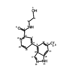 O=C(NCCO)c1cc(-c2cc(C(F)(F)F)cc3[nH]ncc23)ccn1